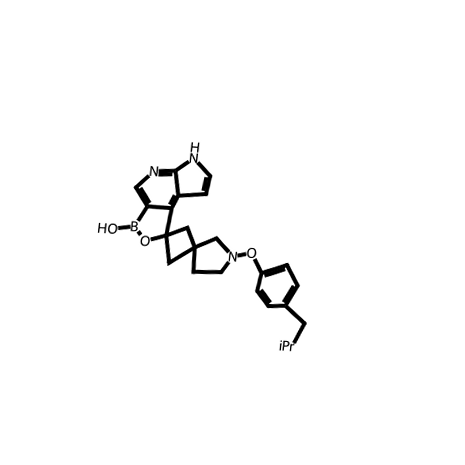 CC(C)Cc1ccc(ON2CCC3(C2)CC2(C3)OB(O)c3cnc4[nH]ccc4c32)cc1